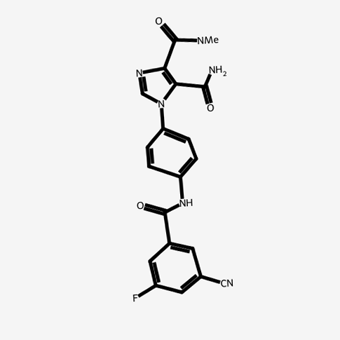 CNC(=O)c1ncn(-c2ccc(NC(=O)c3cc(F)cc(C#N)c3)cc2)c1C(N)=O